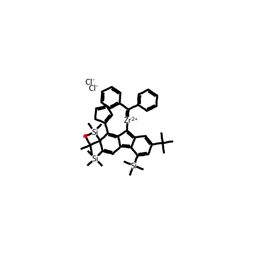 CC(C)(C)c1cc([Si](C)(C)C)c2c(c1)=[C]([Zr+2]=[C](c1ccccc1)c1ccccc1)C1=C(C3=CC=CC3)C(C(C)(C)C)([Si](C)(C)C)C([Si](C)(C)C)=CC=21.[Cl-].[Cl-]